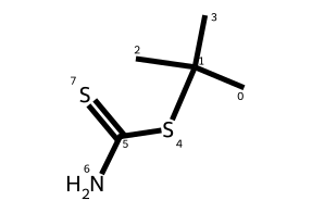 CC(C)(C)SC(N)=S